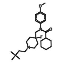 COc1ccc(N(CC2(F)CCN(CCC(C)(C)C)CC2)C(=O)C2CCCCC2)cc1